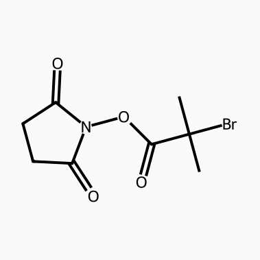 CC(C)(Br)C(=O)ON1C(=O)CCC1=O